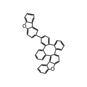 c1ccc2c(c1)-c1ccc(-c3ccc4oc5ccccc5c4c3)cc1-c1ccccc1-c1c-2ccc2oc3ccccc3c12